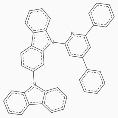 c1ccc(-c2cc(-c3ccccc3)nc(-n3c4ccccc4c4ccc(-n5c6ccccc6c6ccccc65)cc43)c2)cc1